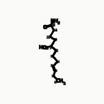 CCC=CCCCC(O)CCCC(N)=O